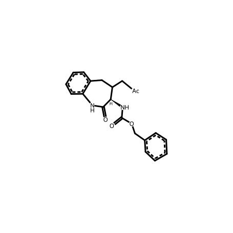 CC(=O)CC1Cc2ccccc2NC(=O)[C@@H]1NC(=O)OCc1ccccc1